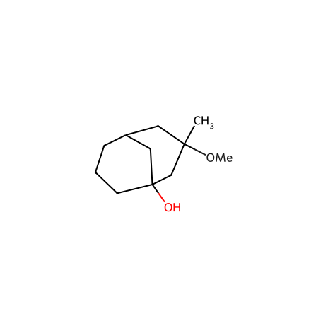 COC1(C)CC2CCCC(O)(C2)C1